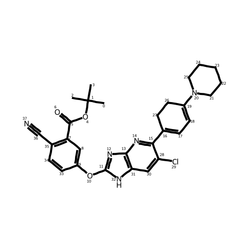 CC(C)(C)OC(=O)c1cc(Oc2nc3nc(C4=CC=C(N5CCCCC5)CC4)c(Cl)cc3[nH]2)ccc1C#N